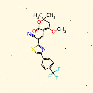 COC1=C(/C=C(\C#N)c2nc(-c3ccc(C(F)(F)F)cc3)cs2)C(=O)OC(C)(C)C1